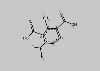 Cc1c(C(=O)O)ccc(C(F)F)c1C(=O)O